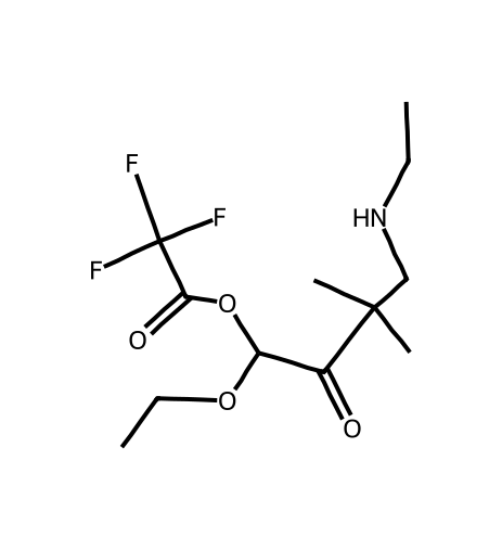 CCNCC(C)(C)C(=O)C(OCC)OC(=O)C(F)(F)F